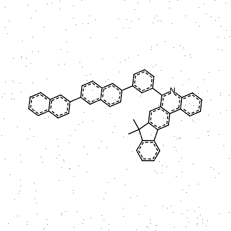 CC1(C)c2ccccc2-c2cc3c(cc21)c(-c1cccc(-c2ccc4cc(-c5ccc6ccccc6c5)ccc4c2)c1)nc1ccccc13